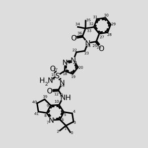 CC1(C)CCc2c1nc1c(c2NC(=O)N=S(N)(=O)c2ccn(CCN3C(=O)c4ccccc4C(C)(C)C3=O)n2)CCC1